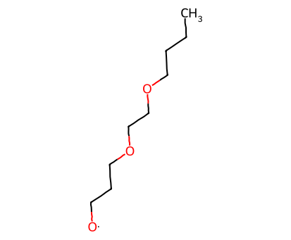 CCCCOCCOCCC[O]